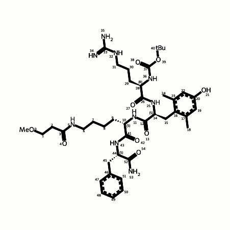 COCCC(=O)NCCCC[C@H](NC(=O)[C@H](Cc1c(C)cc(O)cc1C)NC(=O)[C@@H](CCCNC(=N)N)NC(=O)OC(C)(C)C)C(=O)N[C@@H](Cc1ccccc1)C(N)=O